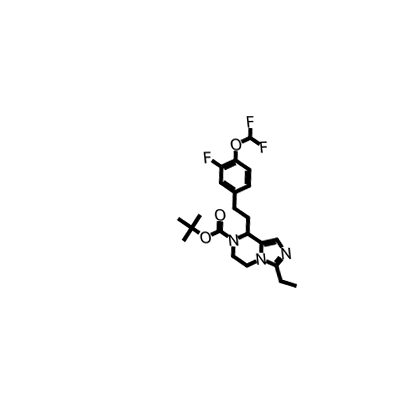 CCc1ncc2n1CCN(C(=O)OC(C)(C)C)C2CCc1ccc(OC(F)F)c(F)c1